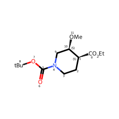 CCOC(=O)[C@H]1CCN(C(=O)OC(C)(C)C)C[C@H]1OC